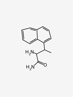 CC(c1cccc2ccccc12)C(N)C(N)=O